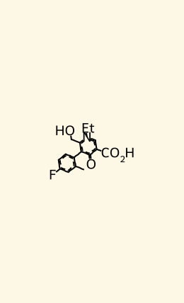 CCn1cc(C(=O)O)c(=O)c(-c2ccc(F)cc2C)c1CO